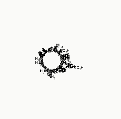 CC(C)C[C@@H]1NC(=O)[C@H](CC(N)=O)NC(=O)[C@H](Cc2cccnc2)N(C)C(=O)[C@@H](C)NC(=O)CSC[C@@H](C(N)=O)NC(=O)[C@H](CCCC(N)=O)NC(=O)[C@H]([C@@H](C)O)NC(=O)[C@H](Cc2cn(C)c3ccccc23)NC(=O)[C@H](CCCCNC(=O)N2CCN(CC(=O)O)CC2)NC(=O)[C@H](Cc2cn(C)c3c(Cl)cccc23)NC(=O)[C@H](CCC(=O)O)N(C)C(=O)[C@H](CCCCN)NC1=O